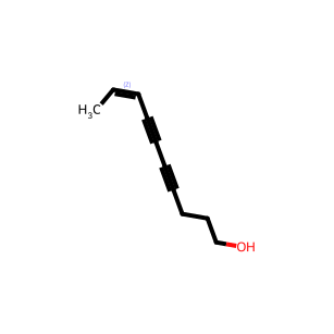 C/C=C\C#CC#CCCCO